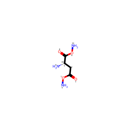 NOC(=O)C[C@H](N)C(=O)ON